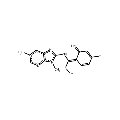 CCS/C(Nc1nc2cc(C(F)(F)F)cnc2n1C)=C1\C=CC(Cl)=CC1=N